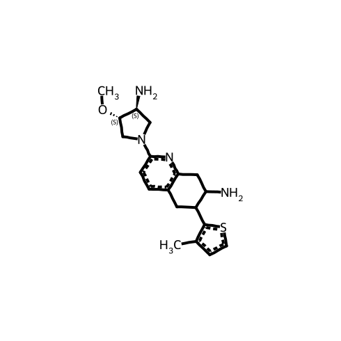 CO[C@H]1CN(c2ccc3c(n2)CC(N)C(c2sccc2C)C3)C[C@@H]1N